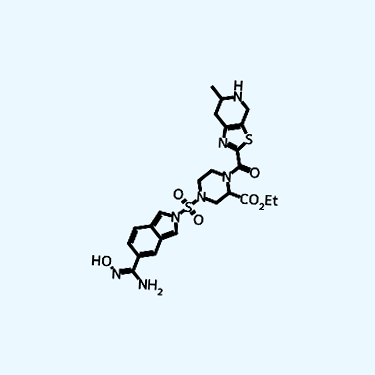 CCOC(=O)C1CN(S(=O)(=O)n2cc3ccc(/C(N)=N\O)cc3c2)CCN1C(=O)c1nc2c(s1)CNC(C)C2